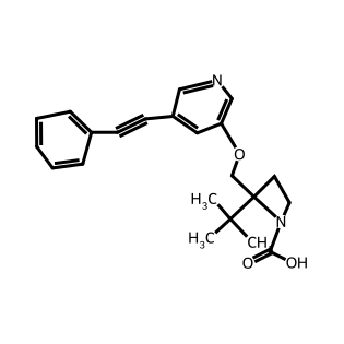 CC(C)(C)C1(COc2cncc(C#Cc3ccccc3)c2)CCN1C(=O)O